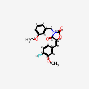 COc1cccc(CN2C(=O)OC(=Cc3ccc(F)c(OC)c3)C2=O)c1